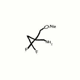 COCC1(N)CC1(F)F